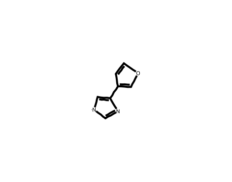 C1=NC(c2ccoc2)=C[N]1